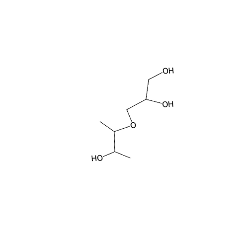 CC(O)C(C)OCC(O)CO